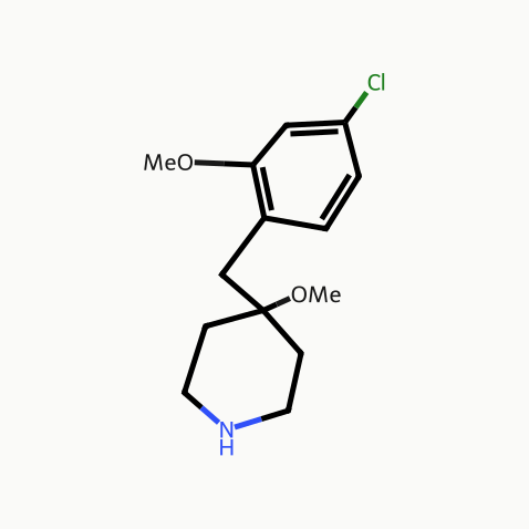 COc1cc(Cl)ccc1CC1(OC)CCNCC1